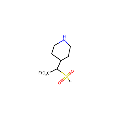 [CH2]S(=O)(=O)C(C(=O)OCC)C1CCNCC1